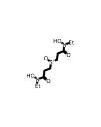 CCN(O)C(=O)CC[S+]([O-])CCC(=O)N(O)CC